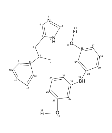 CC(Cc1cnc[nH]1)c1ccccc1.CCOc1cccc(Bc2cccc(OCC)c2)c1